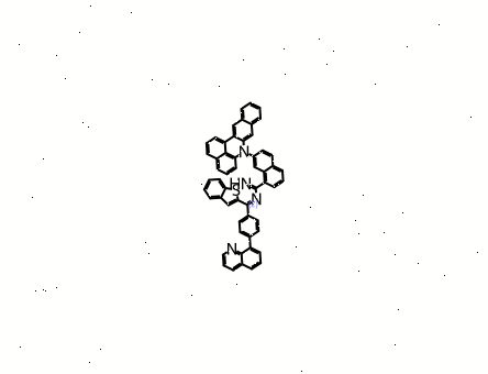 N=C(/N=C(/c1ccc(-c2cccc3cccnc23)cc1)c1cc2ccccc2s1)c1cccc2ccc(N3c4cc5ccccc5cc4-c4cccc5cccc3c45)cc12